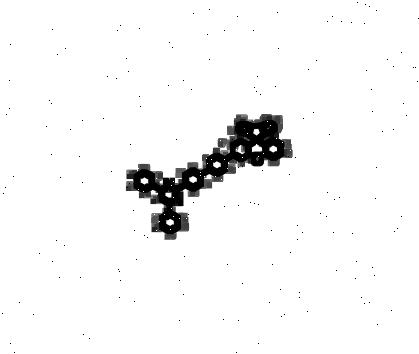 C[C@@H]1CC2=C(C=C1c1ccc(-c3ccc(-c4nc(-c5ccccc5)cc(-c5ccccc5)n4)cc3)cc1)Oc1ccccc1C21c2ccccc2-c2ccccc21